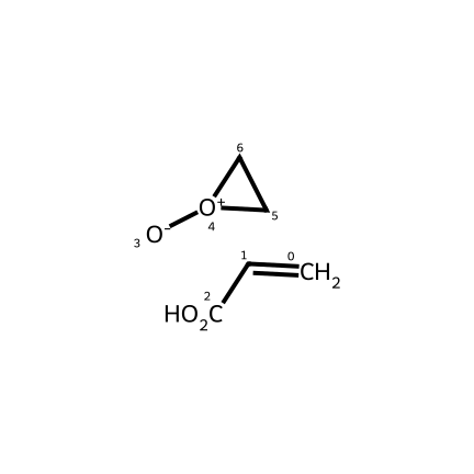 C=CC(=O)O.[O-][O+]1CC1